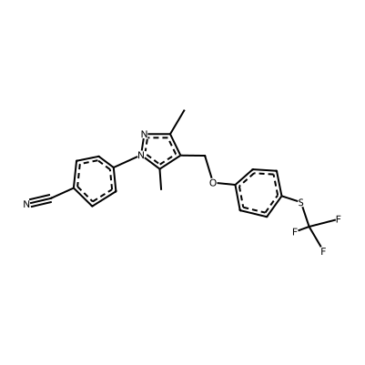 Cc1nn(-c2ccc(C#N)cc2)c(C)c1COc1ccc(SC(F)(F)F)cc1